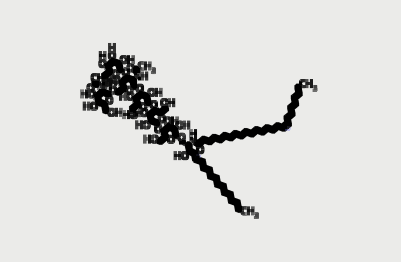 CCCCCCCC/C=C\CCCCCCCCCCCCCCCC(=O)N[C@@H](CO[C@@H]1OC(CO)[C@@H](O[C@@H]2OC(CO)[C@H](O[C@@H]3OC(CO)[C@H](O)[C@H](O[C@@H]4OC(CO[C@@H]5OC(CO)[C@@H](O)[C@H](O)C5NC(C)=O)[C@H](O)[C@H](O[C@@H]5OC(CO)[C@H](O)[C@H](O)C5O)C4NC(C)=O)C3O)[C@H](O)C2O)[C@H](O)C1O)[C@H](O)/C=C/CCCCCCCCCCCCC